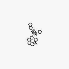 c1ccc(-c2nc(-c3ccc4ccccc4c3)nc(-c3ccc4c(ccc5ccc6ccc7sc8ccccc8c7c6c54)c3)n2)cc1